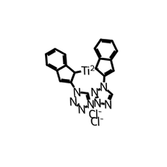 C1=C(n2cnnn2)[CH]([Ti+2][CH]2C(n3cnnn3)=Cc3ccccc32)c2ccccc21.[Cl-].[Cl-]